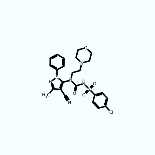 Cc1nn(-c2ccccc2)c(N(CCN2CCOCC2)C(=O)NS(=O)(=O)c2ccc(Cl)cc2)c1C#N